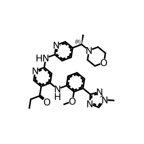 CCC(=O)c1cnc(Nc2ccc([C@@H](C)N3CCOCC3)cn2)cc1Nc1cccc(-c2ncn(C)n2)c1OC